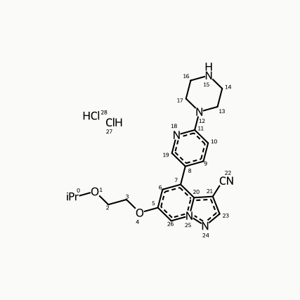 CC(C)OCCOc1cc(-c2ccc(N3CCNCC3)nc2)c2c(C#N)cnn2c1.Cl.Cl